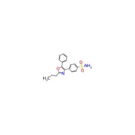 CCCc1nc(-c2ccc(S(N)(=O)=O)cc2)c(-c2ccccc2)o1